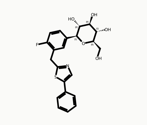 OC[C@H]1O[C@@H](c2ccc(F)c(Cc3ncc(-c4ccccc4)s3)c2)[C@H](O)[C@@H](O)[C@@H]1O